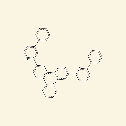 c1ccc(-c2ccnc(-c3ccc4c5ccccc5c5cc(-c6cccc(-c7ccccc7)n6)ccc5c4c3)c2)cc1